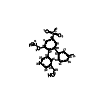 CCCCOc1cc(S(C)(=O)=O)cc(-c2cccc(C)c2)c1-c1cncc(CO)c1